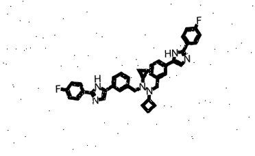 Fc1ccc(-c2ncc(-c3cccc(CN(C4CCC4)N(Cc4cccc(-c5cnc(-c6ccc(F)cc6)[nH]5)c4)C4CC4)c3)[nH]2)cc1